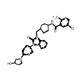 O=C(NC1CCC(Cn2c(=O)n(-c3ccc(N4CCC(O)C4)nc3)c3ccccc32)CC1)c1cc(Cl)cnc1C(F)(F)F